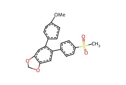 COc1ccc(-c2cc3c(cc2-c2ccc(S(C)(=O)=O)cc2)OCO3)cc1